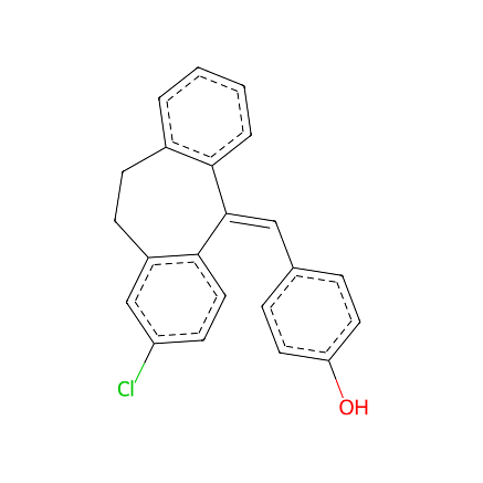 Oc1ccc(/C=C2/c3ccccc3CCc3cc(Cl)ccc32)cc1